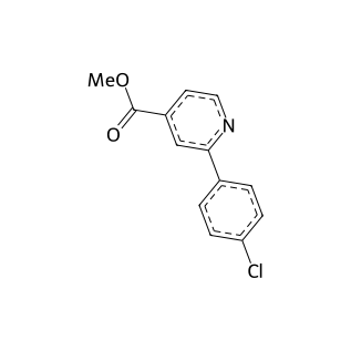 COC(=O)c1ccnc(-c2ccc(Cl)cc2)c1